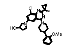 COc1ccccc1C1CCN(c2nc(C3(F)CC3)nc3c(Cl)cc(N4CCC(O)C4)cc23)CC1